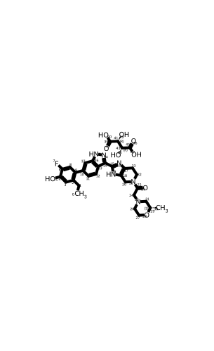 CCc1cc(O)c(F)cc1-c1ccc2c(-c3nc4c([nH]3)CN(C(=O)CN3CCO[C@@H](C)C3)CC4)n[nH]c2c1.O=C(O)[C@H](O)[C@@H](O)C(=O)O